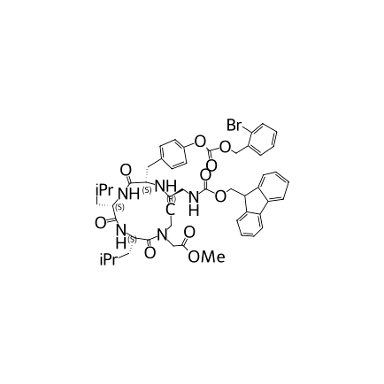 COC(=O)CN1CC[C@H](CNC(=O)OCC2c3ccccc3-c3ccccc32)N[C@@H](Cc2ccc(OC(=O)OCc3ccccc3Br)cc2)C(=O)N[C@@H](CC(C)C)C(=O)N[C@@H](CC(C)C)C1=O